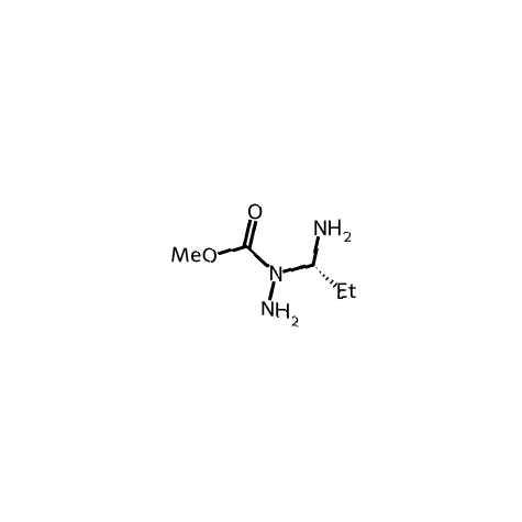 CC[C@@H](N)N(N)C(=O)OC